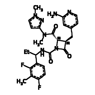 CCC(NC(=O)N1C(=O)[C@H](Cc2ccnc(N)c2)[C@H]1C(=O)N(C)c1ccn(C)n1)c1ccc(F)c(C)c1F